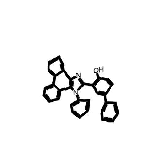 Oc1ccc(-c2ccccc2)cc1-c1nc2c3ccccc3c3ccccc3c2n1-c1ccccc1